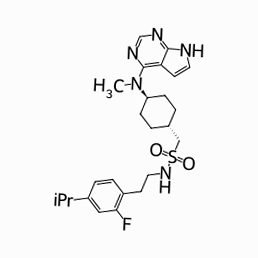 CC(C)c1ccc(CCNS(=O)(=O)C[C@H]2CC[C@H](N(C)c3ncnc4[nH]ccc34)CC2)c(F)c1